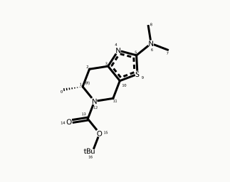 C[C@@H]1Cc2nc(N(C)C)sc2CN1C(=O)OC(C)(C)C